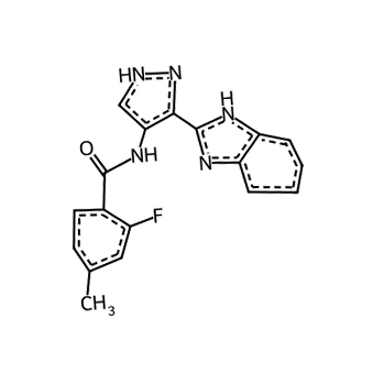 Cc1ccc(C(=O)Nc2c[nH]nc2-c2nc3ccccc3[nH]2)c(F)c1